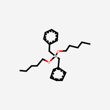 CCCCC[O][Zr]([CH2]c1ccccc1)([CH2]c1ccccc1)[O]CCCCC